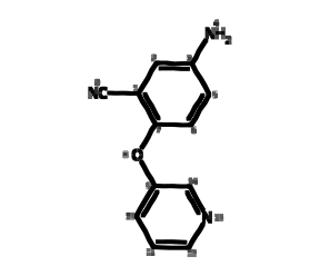 N#Cc1cc(N)ccc1Oc1cccnc1